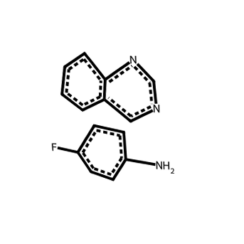 Nc1ccc(F)cc1.c1ccc2ncncc2c1